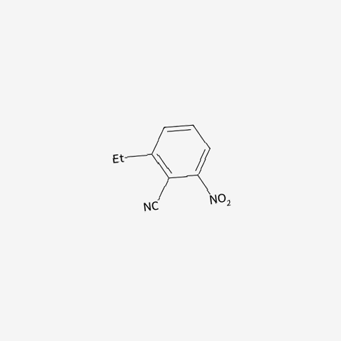 CCc1cccc([N+](=O)[O-])c1C#N